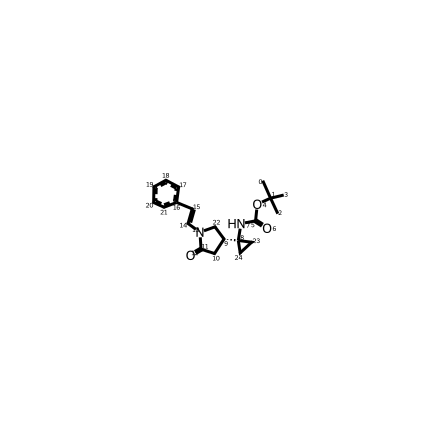 CC(C)(C)OC(=O)NC1([C@@H]2CC(=O)N(C=Cc3ccccc3)C2)CC1